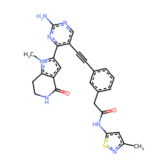 Cc1cc(NC(=O)Cc2cccc(C#Cc3cnc(N)nc3-c3cc4c(n3C)CCNC4=O)c2)sn1